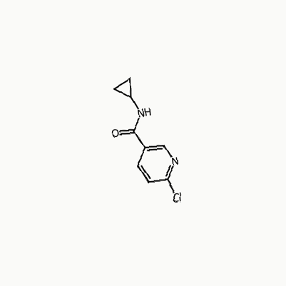 O=C(NC1CC1)c1ccc(Cl)nc1